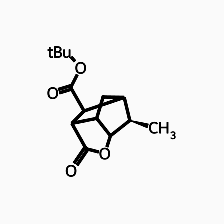 C[C@@H]1C2CC3C(C(=O)OC31)C2C(=O)OC(C)(C)C